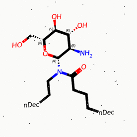 CCCCCCCCCCCCCC(=O)N(CCCCCCCCCCCC)[C@@H]1O[C@H](CO)[C@@H](O)[C@H](O)[C@H]1N